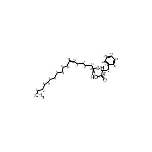 CCCCCCCCCCC/C=C\CCCCC(=O)NC(Cc1ccccc1)C(=O)O